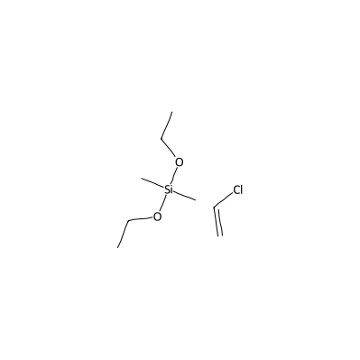 C=CCl.CCO[Si](C)(C)OCC